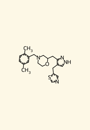 Cc1ccc(C)c(CN2CCOC(Cc3n[nH]cc3Cc3cncs3)C2)c1